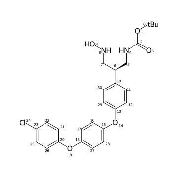 CC(C)(C)OC(=O)NC[C@H](CNO)c1ccc(Oc2ccc(Oc3ccc(Cl)cc3)cc2)cc1